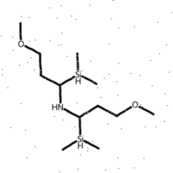 COCCC(NC(CCOC)[SiH](C)C)[SiH](C)C